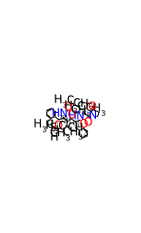 CC(C)[C@H](NC(=O)[C@H](Cc1ccccc1)C[C@H]([C@@H](NC(=O)OC(C)(C)C)C(O[SiH](C)C)c1ccccc1)C(C)(C)C)C(=O)N1CCC1=O